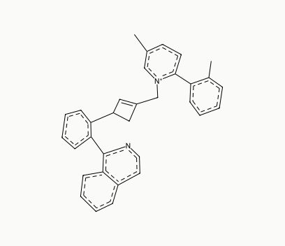 Cc1ccc(-c2ccccc2C)[n+](CC2=CC(c3ccccc3-c3nccc4ccccc34)C2)c1